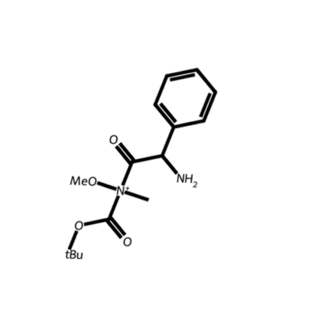 CO[N+](C)(C(=O)OC(C)(C)C)C(=O)C(N)c1ccccc1